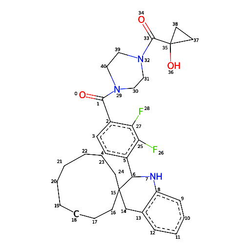 O=C(c1ccc(C2Nc3ccccc3CC23CCCCCCCCC3)c(F)c1F)N1CCN(C(=O)C2(O)CC2)CC1